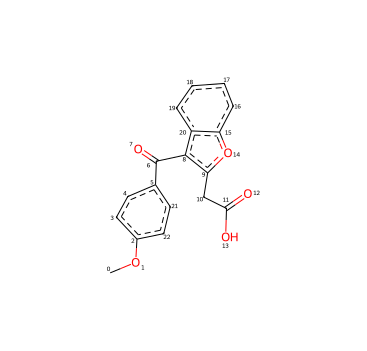 COc1ccc(C(=O)c2c(CC(=O)O)oc3ccccc23)cc1